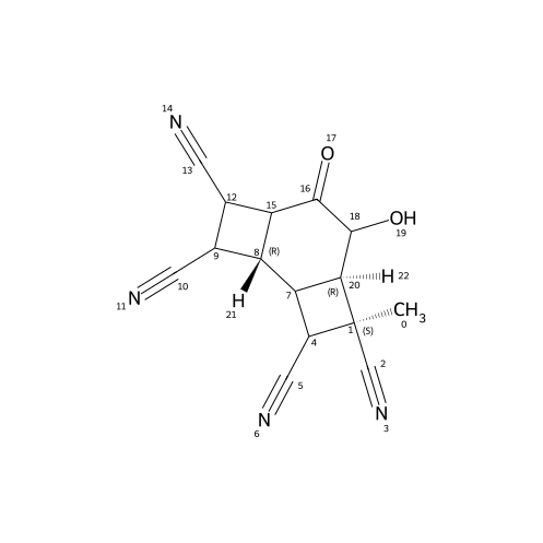 C[C@]1(C#N)C(C#N)C2[C@@H]3C(C#N)C(C#N)C3C(=O)C(O)[C@H]21